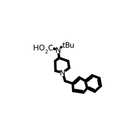 CC(C)(C)N(C(=O)O)C1CCN(Cc2ccc3ccccc3c2)CC1